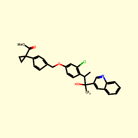 COC(=O)C1(c2ccc(COc3ccc(C(C)C(O)(c4cnc5ccccc5c4)C(F)(F)F)c(Cl)c3)cc2)CC1